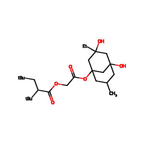 CCC1(O)CC2(O)CC(C)CC(OC(=O)COC(=O)C(CC(C)(C)C)C(C)(C)C)(C1)C2